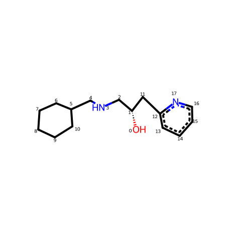 O[C@H](CNCC1CCCCC1)Cc1ccccn1